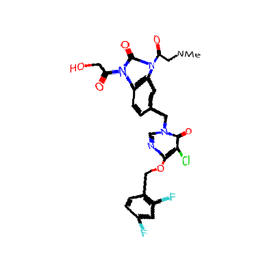 CNCC(=O)n1c(=O)n(C(=O)CO)c2ccc(Cn3cnc(OCc4ccc(F)cc4F)c(Cl)c3=O)cc21